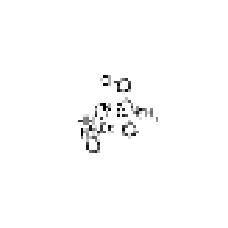 CCn1c(NC2CCN(CCC(CN(C)C(=O)c3ccccc3)c3cccc(Cl)c3)CC2)nc2ccccc21